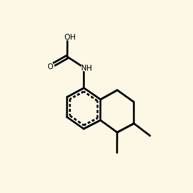 CC1CCc2c(NC(=O)O)cccc2C1C